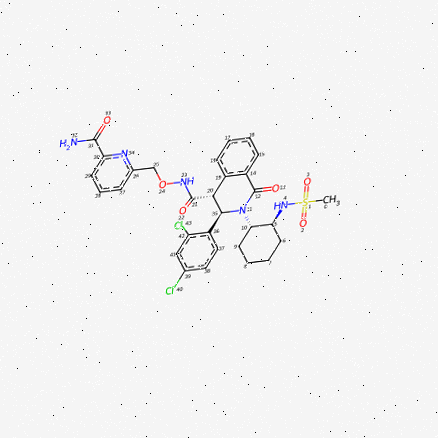 CS(=O)(=O)N[C@H]1CCCC[C@@H]1N1C(=O)c2ccccc2[C@@H](C(=O)NOCc2cccc(C(N)=O)n2)[C@@H]1c1ccc(Cl)cc1Cl